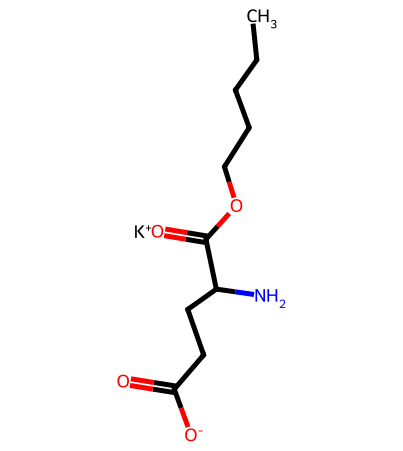 CCCCCOC(=O)C(N)CCC(=O)[O-].[K+]